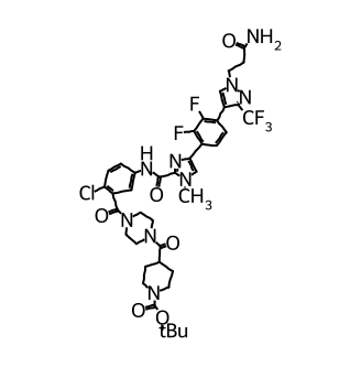 Cn1cc(-c2ccc(-c3cn(CCC(N)=O)nc3C(F)(F)F)c(F)c2F)nc1C(=O)Nc1ccc(Cl)c(C(=O)N2CCN(C(=O)C3CCN(C(=O)OC(C)(C)C)CC3)CC2)c1